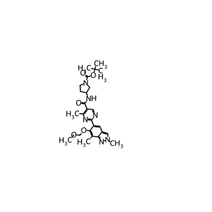 COCOc1c(-c2ncc(C(=O)NC3CCN(C(=O)OC(C)(C)C)C3)c(C)n2)cc2cn(C)nc2c1C